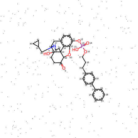 O=C1CCC2(O)C3Cc4ccc(OP(=O)(O)OCCCc5ccc(-c6ccccc6)cc5)c5c4C2(CCN3CC2CC2)C1O5